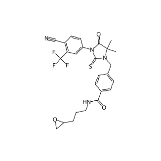 CC1(C)C(=O)N(c2ccc(C#N)c(C(F)(F)F)c2)C(=S)N1Cc1ccc(C(=O)NCCCC2CO2)cc1